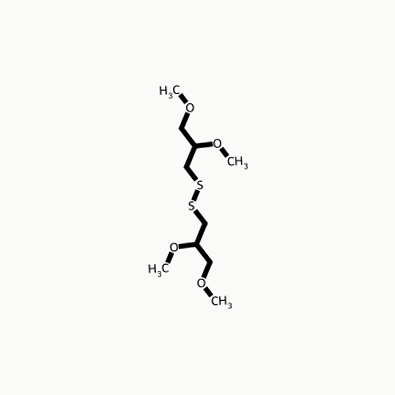 COCC(CSSCC(COC)OC)OC